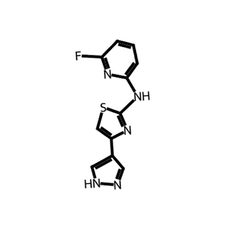 Fc1cccc(Nc2nc(-c3cn[nH]c3)cs2)n1